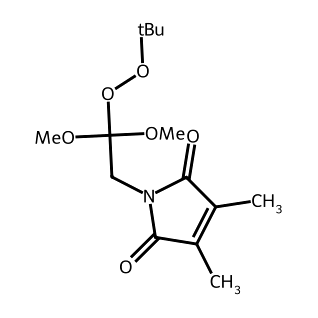 COC(CN1C(=O)C(C)=C(C)C1=O)(OC)OOC(C)(C)C